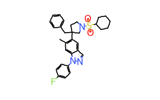 Cc1cc2c(cnn2-c2ccc(F)cc2)cc1C1(Cc2ccccc2)CCN(S(=O)(=O)C2CCCCC2)C1